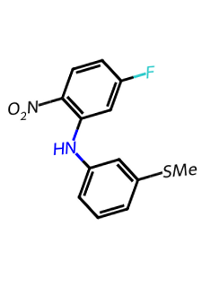 CSc1cccc(Nc2cc(F)ccc2[N+](=O)[O-])c1